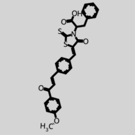 COc1ccc(C(=O)/C=C/c2ccc(/C=C3\SC(=S)N(C(Cc4ccccc4)C(=O)O)C3=O)cc2)cc1